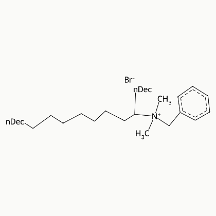 CCCCCCCCCCCCCCCCCC(CCCCCCCCCC)[N+](C)(C)Cc1ccccc1.[Br-]